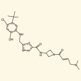 CN(C)C/C=C/C(=O)N1CC(NC(=O)c2cnc(CNc3cc(C(C)(C)C)c(Cl)cc3O)s2)C1